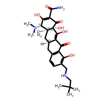 CN(C)[C@@H]1C(O)=C(C(N)=O)C(=O)[C@@]2(O)C(O)=C3C(=O)c4c(ccc(CNCC(C)(C)C)c4O)C[C@H]3C[C@@]12C